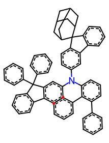 c1ccc(-c2cccc(N(c3ccc4c(c3)-c3ccccc3C43C4CC5CC(C4)CC3C5)c3ccc4c(c3)C(c3ccccc3)(c3ccccc3)c3ccccc3-4)c2-c2ccccc2)cc1